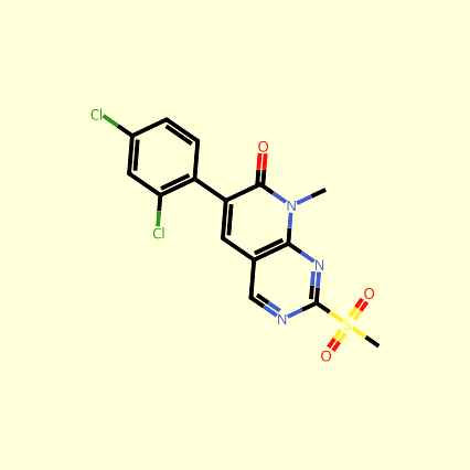 Cn1c(=O)c(-c2ccc(Cl)cc2Cl)cc2cnc(S(C)(=O)=O)nc21